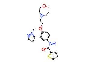 Cn1nccc1-c1cc(NC(=O)c2cccs2)ccc1OCCN1CCCOCC1